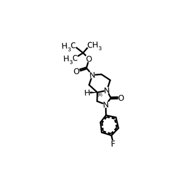 CC(C)(C)OC(=O)N1CCN2C(=O)N(c3ccc(F)cc3)C[C@@H]2C1